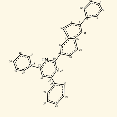 c1ccc(-c2ccc3cc(-c4nc(-c5ccccc5)cc(-c5ccccc5)n4)ccc3c2)cc1